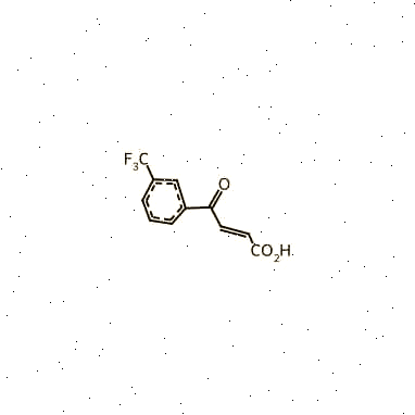 O=C(O)/C=C/C(=O)c1cccc(C(F)(F)F)c1